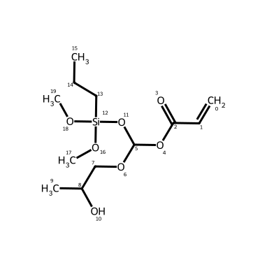 C=CC(=O)OC(OCC(C)O)O[Si](CCC)(OC)OC